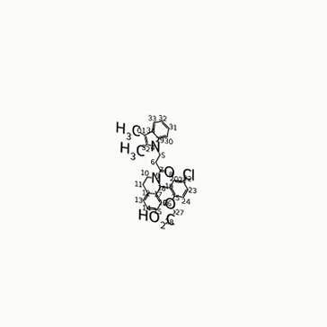 Cc1c(C)n(CCC(=O)N2CCc3ccccc3C2c2cc(Cl)ccc2OCC(=O)O)c2ccccc12